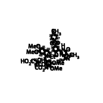 CCCc1nn(C)c2c(=O)[nH]c(-c3cc(S(=O)(=O)N4CCN(C)CC4)ccc3OCC)nc12.COc1ccc(Cc2nccc3cc(OC)c(OC)cc23)cc1OC.O=C(O)CC(O)(CC(=O)O)C(=O)O